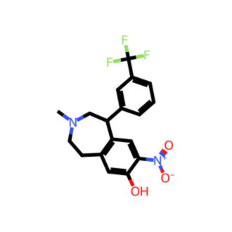 CN1CCc2cc(O)c([N+](=O)[O-])cc2C(c2cccc(C(F)(F)F)c2)C1